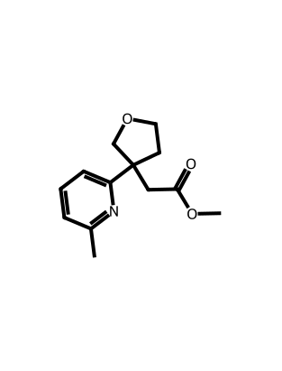 COC(=O)CC1(c2cccc(C)n2)CCOC1